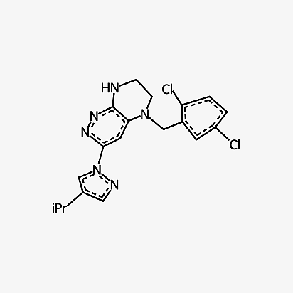 CC(C)c1cnn(-c2cc3c(nn2)NCCN3Cc2cc(Cl)ccc2Cl)c1